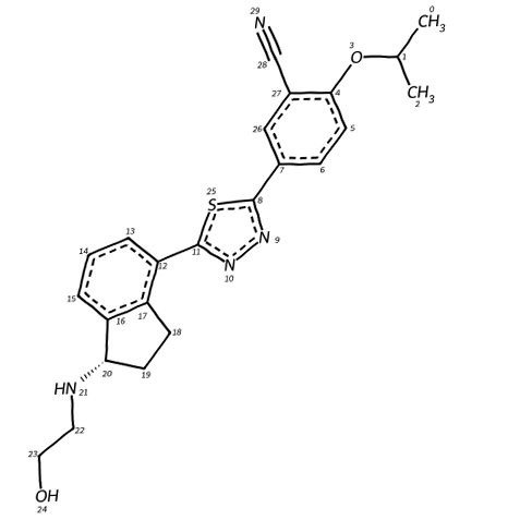 CC(C)Oc1ccc(-c2nnc(-c3cccc4c3CC[C@@H]4NCCO)s2)cc1C#N